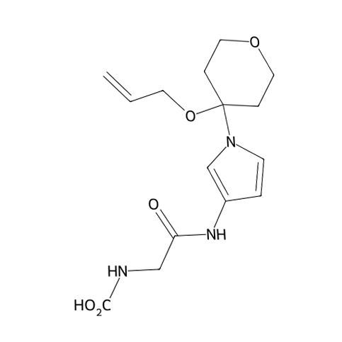 C=CCOC1(n2ccc(NC(=O)CNC(=O)O)c2)CCOCC1